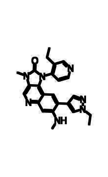 CCc1cnccc1-n1c(=O)n(C)c2cnc3cc(NC)c(-c4cnn(CC)c4)cc3c21